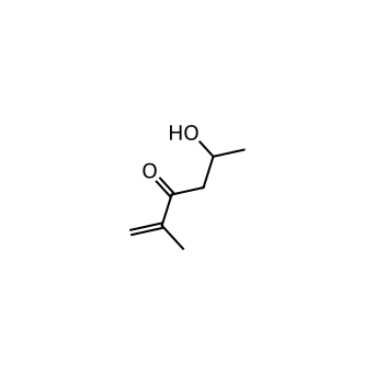 C=C(C)C(=O)CC(C)O